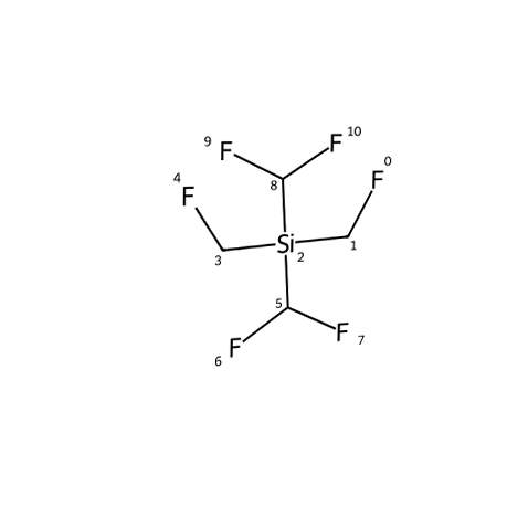 FC[Si](CF)(C(F)F)C(F)F